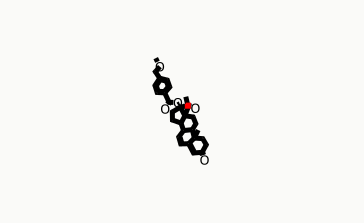 COCc1ccc(C(=O)O[C@]2(C(C)=O)CCC3C4C=CC5=CC(=O)CCC5(C)C4CCC32C)cc1